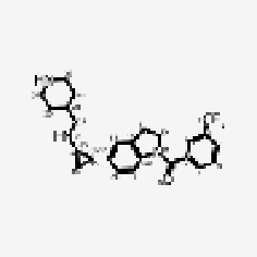 O=C(c1cccc(C(F)(F)F)c1)N1CCc2cc([C@@H]3C[C@H]3NCC3CCNCC3)ccc21